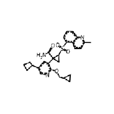 Cc1ccc2c(S(=O)(=O)C3CC3(C(N)=O)c3cc(C4CCC4)cnc3OCC3CC3)cccc2n1